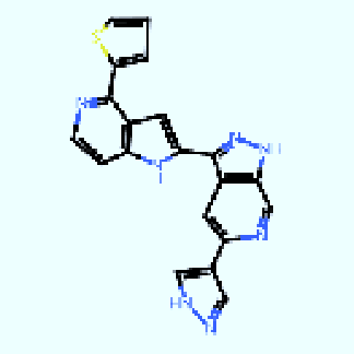 c1csc(-c2nccc3[nH]c(-c4n[nH]c5cnc(-c6cn[nH]c6)cc45)cc23)c1